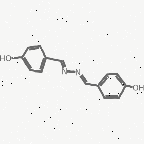 Oc1ccc(C=NN=Cc2ccc(O)cc2)cc1